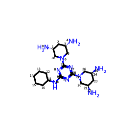 N[C@@H]1C[C@H](N)CN(c2nc(NC3CCCCC3)nc(N3C[C@H](N)C[C@H](N)C3)n2)C1